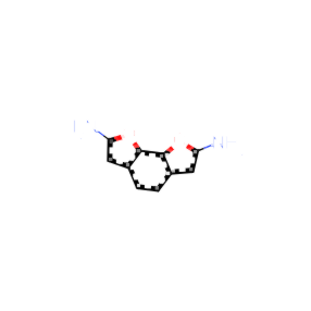 Nc1cc2ccc3cc(N)oc3c2o1